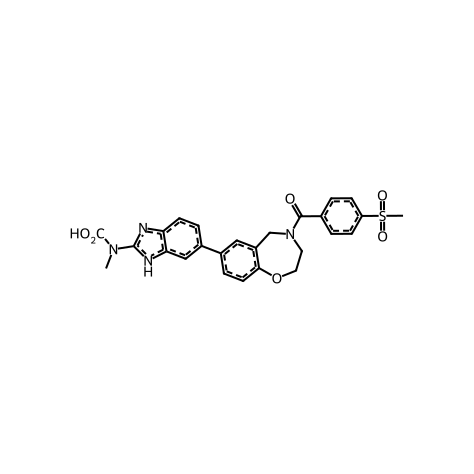 CN(C(=O)O)c1nc2ccc(-c3ccc4c(c3)CN(C(=O)c3ccc(S(C)(=O)=O)cc3)CCO4)cc2[nH]1